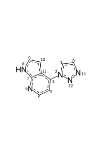 c1cn(-c2ccnc3[nH]ccc23)nn1